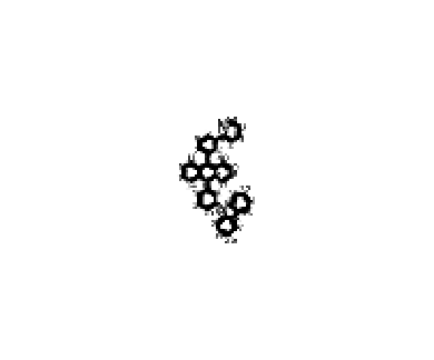 c1ccc(-c2cccc(-c3c4ccccc4c(-c4cccc(-n5c6ccccc6c6ccccc65)c4)c4ccccc34)c2)nc1